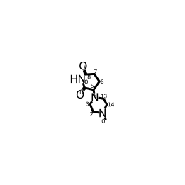 CN1CCN(C2CCC(=O)NC2=O)CC1